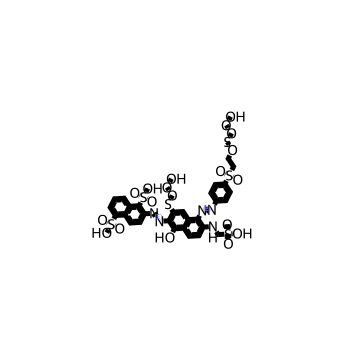 O=S(=O)(O)CNc1ccc2c(O)c(/N=N/c3ccc4c(S(=O)(=O)O)cccc4c3S(=O)(=O)O)c(SOOO)cc2c1/N=N/c1ccc(S(=O)(=O)CCOSOOO)cc1